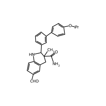 CC(C)Oc1ccc(-c2cccc(C3Nc4ccc([C]=O)cc4CC3(C)C(N)=O)c2)cc1